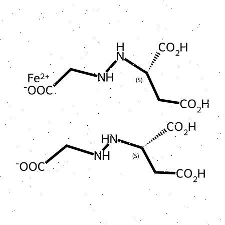 O=C([O-])CNN[C@@H](CC(=O)O)C(=O)O.O=C([O-])CNN[C@@H](CC(=O)O)C(=O)O.[Fe+2]